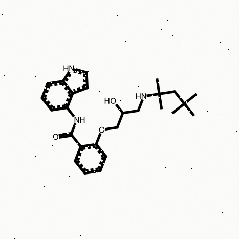 CC(C)(C)CC(C)(C)NCC(O)COc1ccccc1C(=O)Nc1cccc2[nH]ccc12